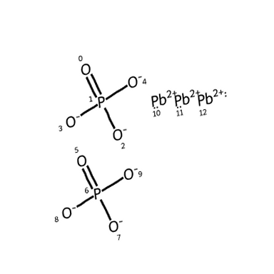 O=P([O-])([O-])[O-].O=P([O-])([O-])[O-].[Pb+2].[Pb+2].[Pb+2]